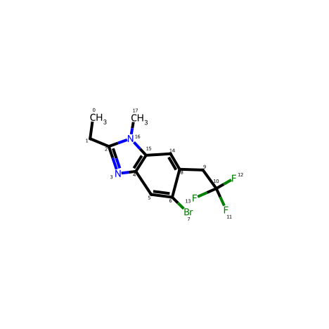 CCc1nc2cc(Br)c(CC(F)(F)F)cc2n1C